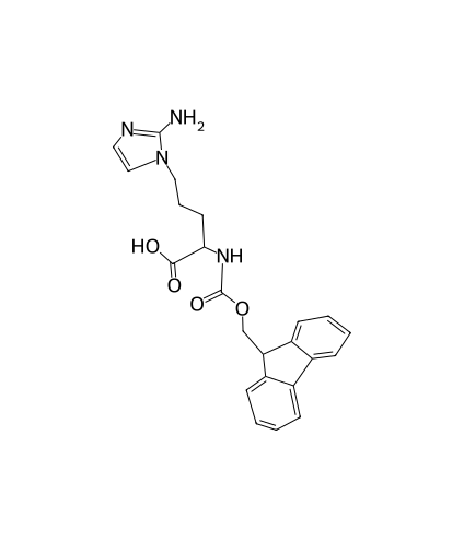 Nc1nccn1CCCC(NC(=O)OCC1c2ccccc2-c2ccccc21)C(=O)O